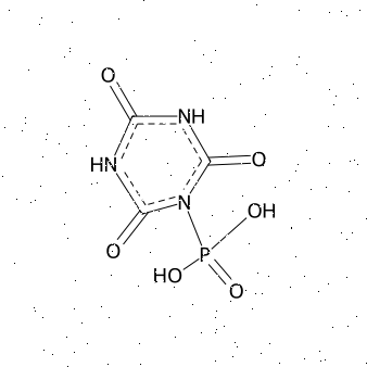 O=c1[nH]c(=O)n(P(=O)(O)O)c(=O)[nH]1